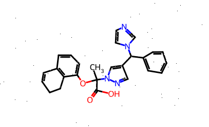 CC(Oc1cccc2c1CCC=C2)(C(=O)O)n1cc(C(c2ccccc2)n2ccnc2)cn1